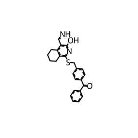 N=Cc1c(O)nc(SCc2ccc(C(=O)c3ccccc3)cc2)c2c1CCCC2